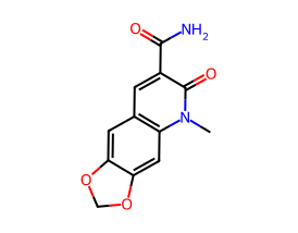 Cn1c(=O)c(C(N)=O)cc2cc3c(cc21)OCO3